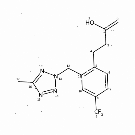 C=C(O)CCc1ccc(C(F)(F)F)cc1Cn1nnc(C)n1